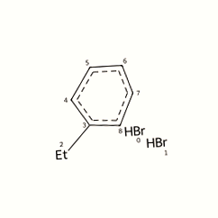 Br.Br.CCc1ccccc1